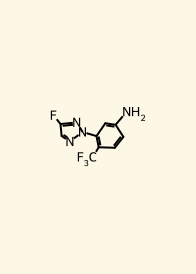 Nc1ccc(C(F)(F)F)c(-n2ncc(F)n2)c1